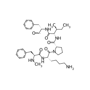 CC[C@H](C)[C@H](NC(=O)[C@@H]1CCCN1C(=O)[C@H](CCCCN)NC(=O)[C@H](Cc1ccccc1)NC)C(=O)N[C@H]([C]=O)Cc1ccccc1